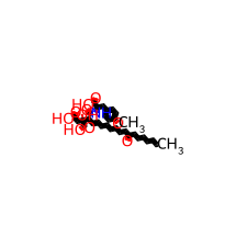 CCCCCCCC(=O)CCCCCC/C=C/[C@H](C(=O)NC(Cc1ccc(OC)cc1)C(=O)O)[C@@](O)(CC(=O)O)C(=O)O